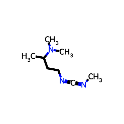 CN=C=NCCC(C)N(C)C